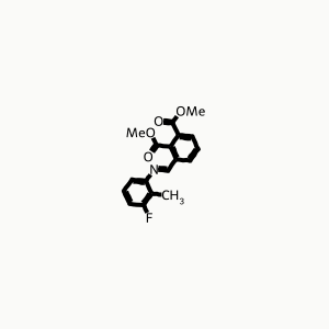 COC(=O)c1cccc(C=Nc2cccc(F)c2C)c1C(=O)OC